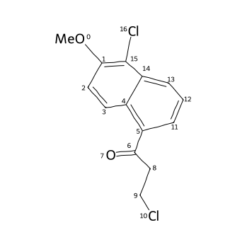 COc1ccc2c(C(=O)CCCl)cccc2c1Cl